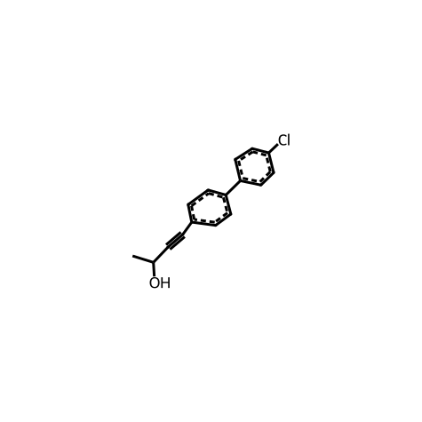 CC(O)C#Cc1ccc(-c2ccc(Cl)cc2)cc1